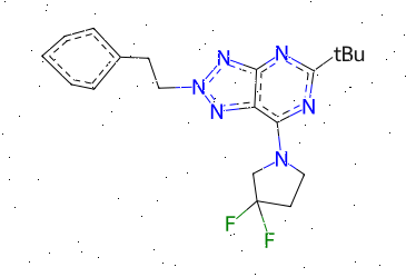 CC(C)(C)c1nc(N2CCC(F)(F)C2)c2nn(CCc3ccccc3)nc2n1